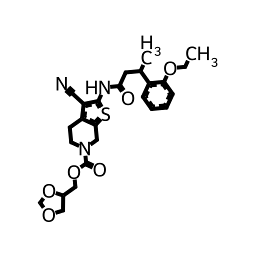 CCOc1ccccc1C(C)CC(=O)Nc1sc2c(c1C#N)CCN(C(=O)OCC1COCO1)C2